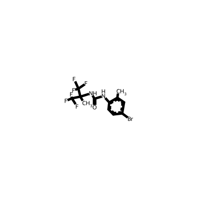 Cc1cc(Br)ccc1NC(=O)NC(C)(C(F)(F)F)C(F)(F)F